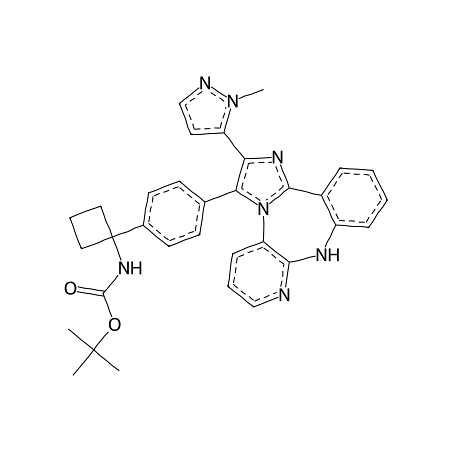 Cn1nccc1-c1nc2n(c1-c1ccc(C3(NC(=O)OC(C)(C)C)CCC3)cc1)-c1cccnc1Nc1ccccc1-2